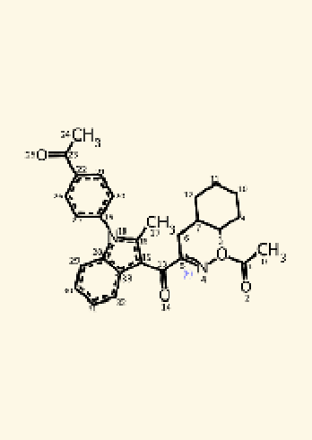 CC(=O)O/N=C(\CC1CCCCC1)C(=O)c1c(C)n(-c2ccc(C(C)=O)cc2)c2ccccc12